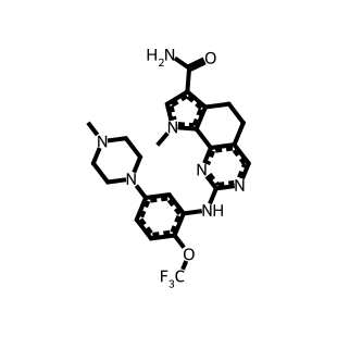 CN1CCN(c2ccc(OC(F)(F)F)c(Nc3ncc4c(n3)-c3c(c(C(N)=O)cn3C)CC4)c2)CC1